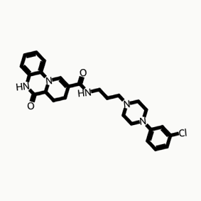 O=C(NCCCN1CCN(c2cccc(Cl)c2)CC1)C1=CN2c3ccccc3NC(=O)C2CC1